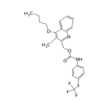 CCCCOc1c(C)c(COC(=O)Nc2ccc(SC(F)(F)F)cc2)nc2ccccc12